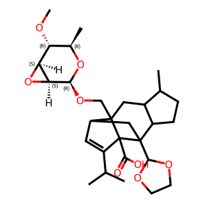 CO[C@H]1[C@@H]2O[C@@H]2[C@H](OCC23CC4C(C)CCC4C4(C5OCCO5)CC2C=C(C(C)C)C34C(=O)O)O[C@@H]1C